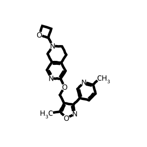 Cc1ccc(-c2noc(C)c2COc2cc3c(cn2)CN(C2CCO2)CC3)cn1